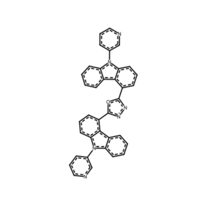 c1cncc(-n2c3ccccc3c3c(-c4nnc(-c5cccc6c5c5ccccc5n6-c5cccnc5)o4)cccc32)c1